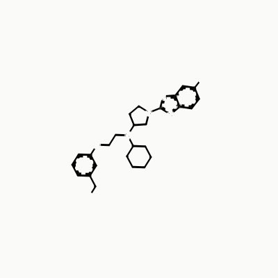 O=C(O)Cc1cccc(OCCN(C2CCCCC2)C2CCN(c3nc4ccc(Cl)cc4s3)C2)c1